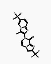 O=c1c2nc(C(F)(F)F)cn2ccn1-c1nc2ccc(C(F)(F)F)cn2c1I